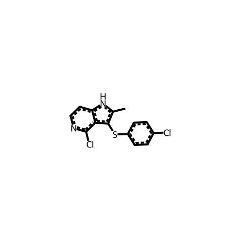 Cc1[nH]c2ccnc(Cl)c2c1Sc1ccc(Cl)cc1